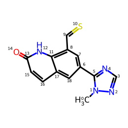 Cn1ncnc1-c1cc(C=S)c2[nH]c(=O)ccc2c1